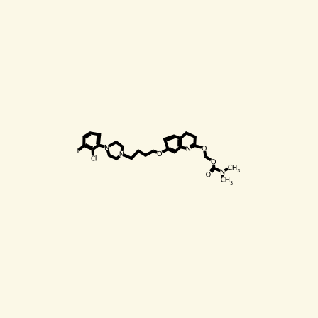 CN(C)C(=O)OCOC1=Nc2cc(OCCCCN3CCN(c4cccc(I)c4Cl)CC3)ccc2CC1